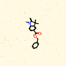 C=C1N(C)c2ccc(C(=O)OCc3ccccc3)cc2C1(C)C